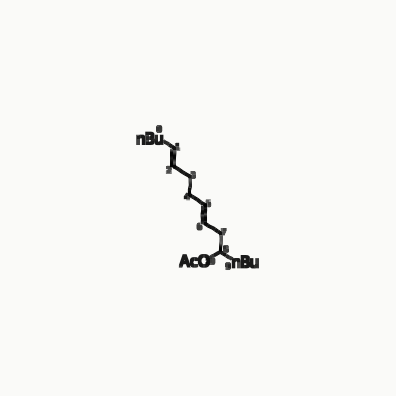 CCCCC=CCCC=CCC(CCCC)OC(C)=O